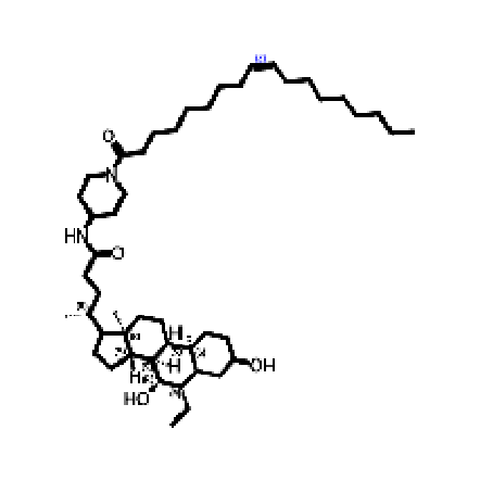 CCCCCCCC/C=C\CCCCCCCC(=O)N1CCC(NC(=O)CC[C@@H](C)C2CC[C@H]3[C@@H]4[C@H](O)[C@H](CC)C5CC(O)CC[C@]5(C)[C@H]4CC[C@]23C)CC1